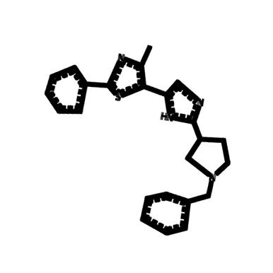 Cc1nc(-c2ccccc2)sc1-c1cnc(C2CCN(Cc3ccccc3)C2)[nH]1